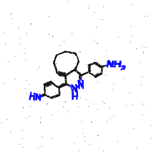 N=C1C=CC(=C2NN=C(c3ccc(N)cc3)C3CCCCC/C=C/23)C=C1